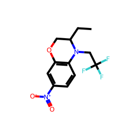 CCC1COc2cc([N+](=O)[O-])ccc2N1CC(F)(F)F